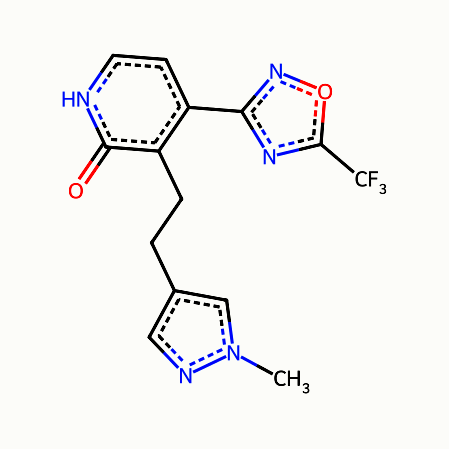 Cn1cc(CCc2c(-c3noc(C(F)(F)F)n3)cc[nH]c2=O)cn1